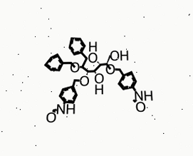 O=CNc1ccc(CO[C@H](C(Cc2ccccc2)OCc2ccccc2)[C@@H](O)[C@H](O)[C@@H](CO)OCc2ccc(NC=O)cc2)cc1